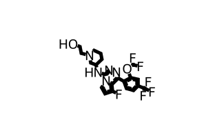 OCCN1CCCC(Nc2nnc(-c3ccc(C(F)(F)F)cc3OC(F)F)c3c(F)ccn23)C1